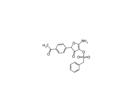 CC(=O)c1ccc(C2OC(N)=C(OS(=O)(=O)Cc3ccccc3)C2=O)cc1